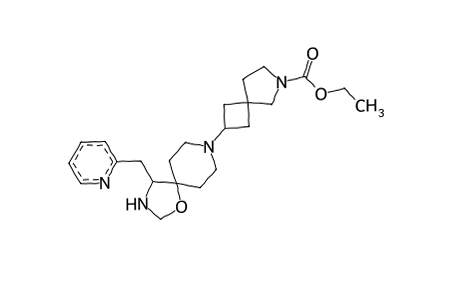 CCOC(=O)N1CCC2(CC(N3CCC4(CC3)OCNC4Cc3ccccn3)C2)C1